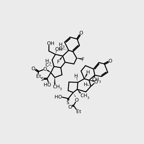 CCC(=O)O[C@]1(C(O)=S)CC[C@H]2[C@@H]3CCC4=CC(=O)C=C[C@]4(C)[C@@]34O[C@H]4C[C@@]21C.CCC(=O)O[C@]1(C(O)=S)[C@H](C)CC2C3C[C@H](F)C4=CC(=O)C=C[C@]4(C)[C@@]3(F)[C@](O)(CO)C[C@@]21C